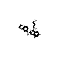 OCCCNc1nc(Nc2ccc3c(c2)OCCO3)nc2c(F)cccc12